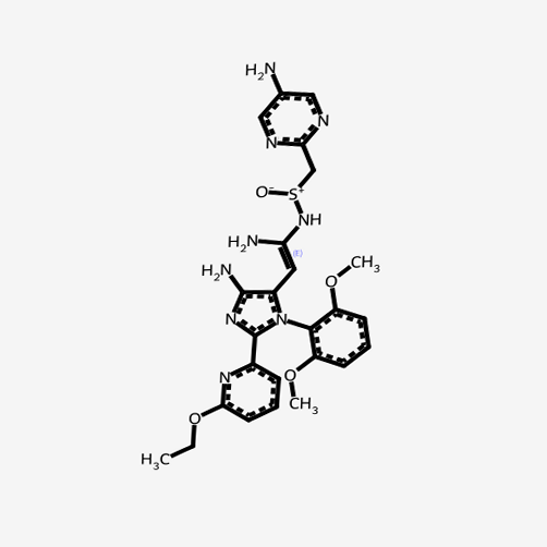 CCOc1cccc(-c2nc(N)c(/C=C(\N)N[S+]([O-])Cc3ncc(N)cn3)n2-c2c(OC)cccc2OC)n1